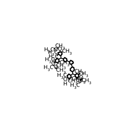 CCOC(C)Oc1c(C)cc(C(c2ccc(-c3cccc(-c4ccc(C(c5cc(C)c(OC(C)OCC)c(C)c5C)c5cc(C)c(OC(C)OCC)c(C)c5C)cc4)c3)cc2)c2cc(C)c(O)c(C)c2C)c(C)c1C